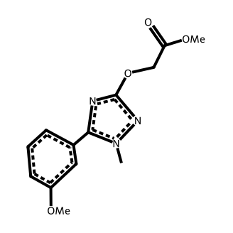 COC(=O)COc1nc(-c2cccc(OC)c2)n(C)n1